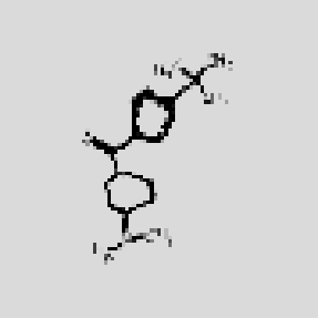 CN(C)C1CCN(C(=O)c2ccc(C(C)(C)C)cc2)CC1